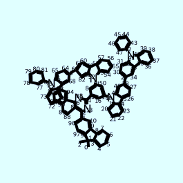 CC1(C)c2ccccc2-c2cc(-c3nc(-c4cc(-n5c6ccccc6c6ccc(-c7ccc8c(c7)c7ccccc7n8-c7ccccc7)cc65)cc(-n5c6ccccc6c6ccc(-c7ccc8c(c7)c7ccccc7n8-c7ccccc7)cc65)c4)nc4c3ccc3ccccc34)ccc21